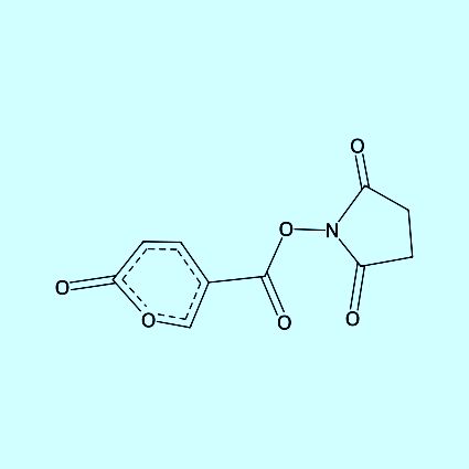 O=C(ON1C(=O)CCC1=O)c1ccc(=O)oc1